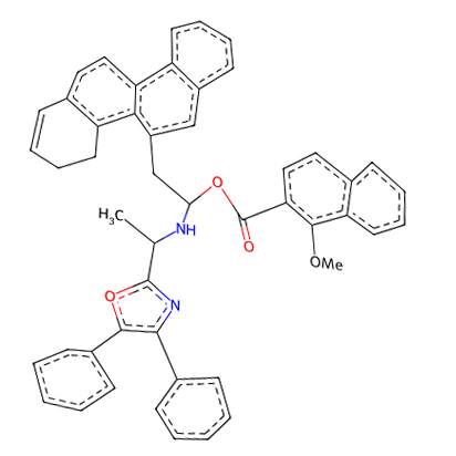 COc1c(C(=O)OC(Cc2cc3ccccc3c3ccc4c(c23)CCC=C4)NC(C)c2nc(-c3ccccc3)c(-c3ccccc3)o2)ccc2ccccc12